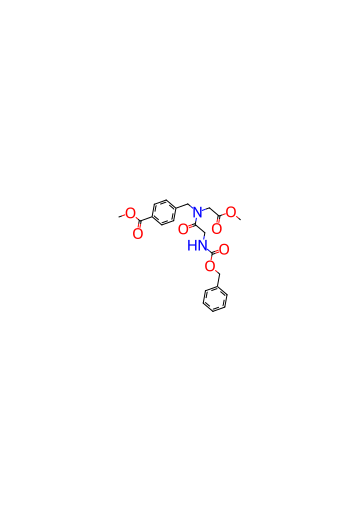 COC(=O)CN(Cc1ccc(C(=O)OC)cc1)C(=O)CNC(=O)OCc1ccccc1